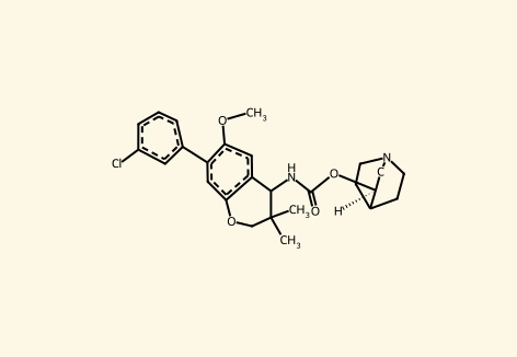 COc1cc2c(cc1-c1cccc(Cl)c1)OCC(C)(C)C2NC(=O)O[C@H]1CN2CCC1CC2